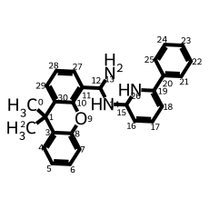 CC1(C)c2ccccc2Oc2c(C(N)NC3C=CC=C(c4ccccc4)N3)cccc21